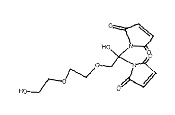 O=C1C=CC(=O)N1C(O)(COCCOCCO)N1C(=O)C=CC1=O